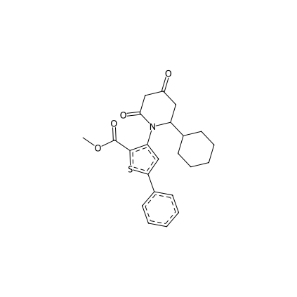 COC(=O)c1sc(-c2ccccc2)cc1N1C(=O)CC(=O)CC1C1CCCCC1